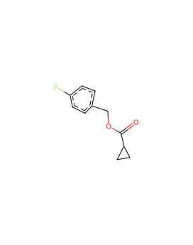 O=C(OCc1ccc(F)cc1)C1CC1